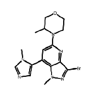 CC1COCCN1c1cc(-c2cncn2C)c2c(n1)c(Br)nn2C